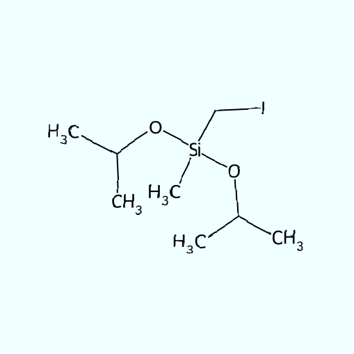 CC(C)O[Si](C)(CI)OC(C)C